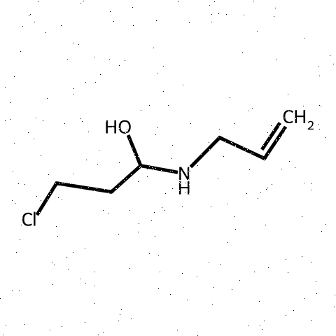 C=CCNC(O)CCCl